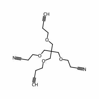 C#CCCOCC(COCCC#C)(COCCC#N)COCCC#N